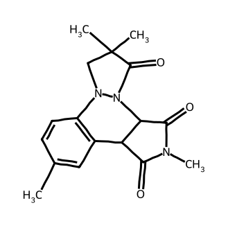 Cc1ccc2c(c1)C1C(=O)N(C)C(=O)C1N1C(=O)C(C)(C)CN21